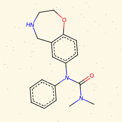 CN(C)C(=O)N(c1ccccc1)c1ccc2c(c1)CNCCO2